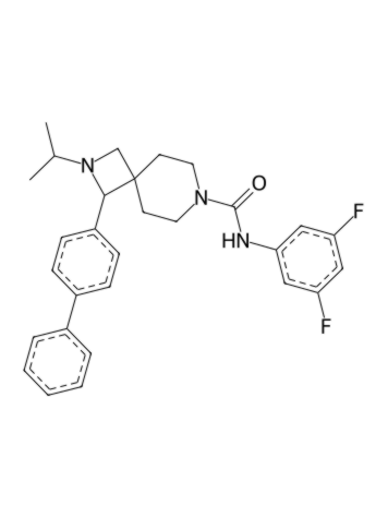 CC(C)N1CC2(CCN(C(=O)Nc3cc(F)cc(F)c3)CC2)C1c1ccc(-c2ccccc2)cc1